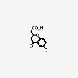 O=C(O)CC1CC(=O)c2cc(Cl)ccc2O1